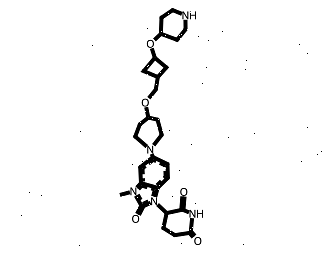 Cn1c(=O)n(C2CCC(=O)NC2=O)c2ccc(N3CCC(OCC4CC(OC5CCNCC5)C4)CC3)cc21